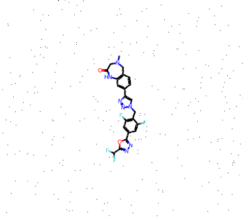 CN1CC(=O)Nc2cc(-c3cn(Cc4c(F)cc(-c5nnc(C(F)F)o5)cc4F)nn3)ccc2C1